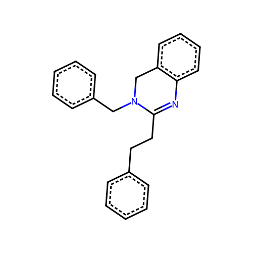 c1ccc(CCC2=Nc3ccccc3CN2Cc2ccccc2)cc1